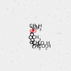 CC(CC(=O)O)C(=O)O[C@H]1CCC2(C)C(CCC3C2CC[C@]2(C)C(C(C)CCC(C(=O)O)C(=O)O)CCC32)C1